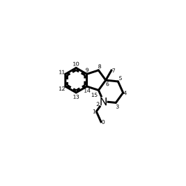 CCN1CCCC2(C)Cc3ccccc3C12